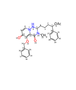 CC(=O)OC(CCCC1Nn2ccc(=O)c(OCc3ccccc3)c2C(=O)N1C)c1ccccc1